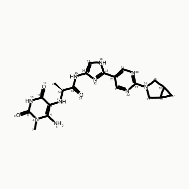 C[C@H](Nc1c(N)n(C)c(=O)[nH]c1=O)C(=O)Nc1c[nH]c(-c2cnc(N3CC4CC4C3)nc2)n1